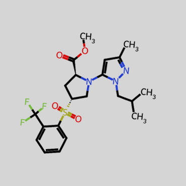 COC(=O)[C@@H]1C[C@@H](S(=O)(=O)c2ccccc2C(F)(F)F)CN1c1cc(C)nn1CC(C)C